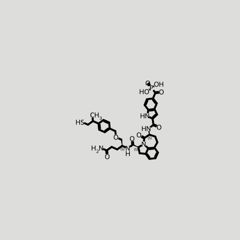 CC(CS)c1ccc(COC[C@H](CCC(N)=O)NC(=O)[C@@H]2Cc3cccc4c3N2C(=O)[C@@H](NC(=O)c2cc3cc(C(=O)P(=O)(O)O)ccc3[nH]2)CC4)cc1